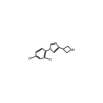 Clc1ccc(-n2cnc(C3CNC3)c2)c(Cl)c1